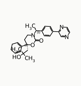 C[C@@H](c1ccc(-c2cnccn2)cc1)N1CC[C@](CC(C)(C)O)(C2=CCCC=C2)OC1=O